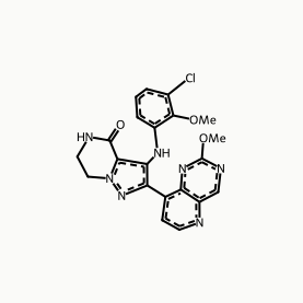 COc1ncc2nccc(-c3nn4c(c3Nc3cccc(Cl)c3OC)C(=O)NCC4)c2n1